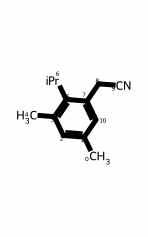 Cc1cc(C)c(C(C)C)c(CC#N)c1